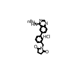 CCCCNc1ncnc2ccc(-c3cccc(CN4C(=O)CCC4=O)c3)cc12.Cl